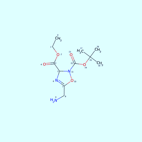 CCOC(=O)C1N=C(CN)ON1C(=O)OC(C)(C)C